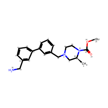 C[C@H]1CN(Cc2cccc(-c3cccc(CN)c3)c2)CCN1C(=O)OC(C)(C)C